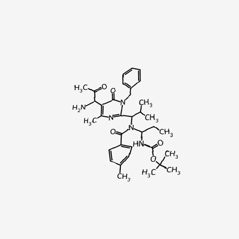 CCC(NC(=O)OC(C)(C)C)N(C(=O)c1ccc(C)cc1)C(c1nc(C)c(C(N)C(C)=O)c(=O)n1Cc1ccccc1)C(C)C